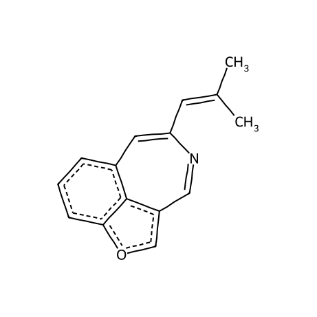 CC(C)=CC1=Cc2cccc3occ(c23)C=N1